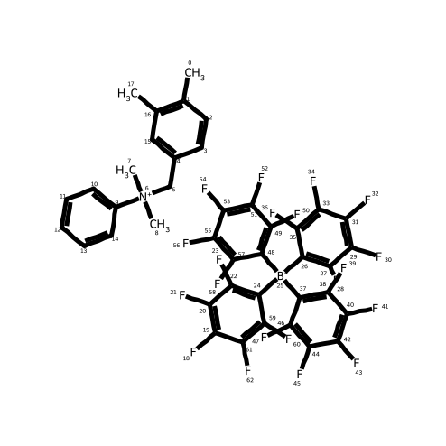 Cc1ccc(C[N+](C)(C)c2ccccc2)cc1C.Fc1c(F)c(F)c([B-](c2c(F)c(F)c(F)c(F)c2F)(c2c(F)c(F)c(F)c(F)c2F)c2c(F)c(F)c(F)c(F)c2F)c(F)c1F